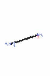 NCCNCCCCCCCCCCCCCCCCCC(N)=O